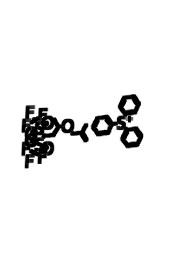 C=C(C)COC(C)CC(S(=O)(=O)C(F)(F)F)S(=O)(=O)C(F)(F)F.c1ccc([S+](c2ccccc2)c2ccccc2)cc1